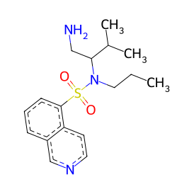 CCCN(C(CN)C(C)C)S(=O)(=O)c1cccc2cnccc12